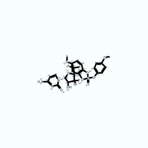 COc1ccc(OP(=S)(OC[C@@]2(C(F)F)O[C@@H](n3ccc(N)nc3=O)C(O)C2(F)F)Oc2ccc(OC)cc2)cc1